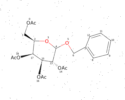 CC(=O)OC[C@H]1OC(OCc2ccccc2)[C@H](OC(C)=O)[C@@H](OC(C)=O)[C@H]1OC(C)=O